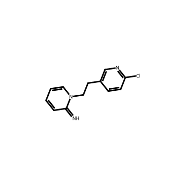 N=c1ccccn1CCc1ccc(Cl)nc1